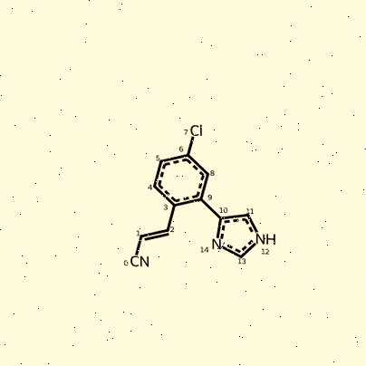 N#C/C=C/c1ccc(Cl)cc1-c1c[nH]cn1